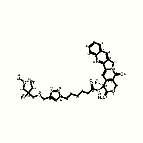 C=C1OCc2c(cc3n(c2=O)Cc2cc4ccccc4nc2-3)[C@]1(CC)OC(=O)CCCCCn1cc(COCC(CC)(COCC)CC(C)C)nn1